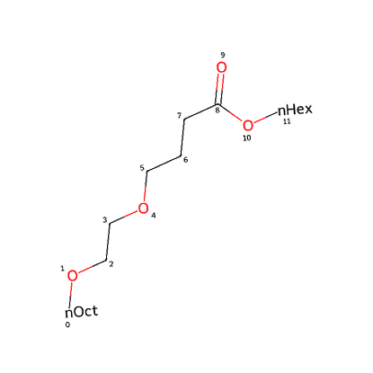 CCCCCCCCOCCOCCCC(=O)OCCCCCC